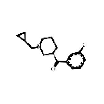 O=C(c1cccc(Cl)c1)[C@@H]1CCCN(CC2CC2)C1